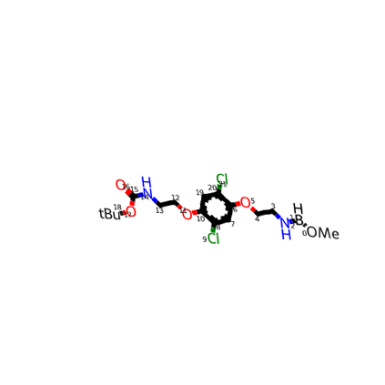 COBNCCOc1cc(Cl)c(OCCNC(=O)OC(C)(C)C)cc1Cl